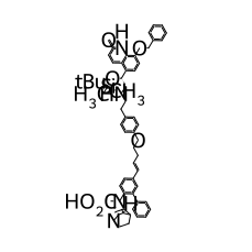 CC(C)(C)[Si](C)(C)O[C@@H](CNCCc1ccc(OCC/C=C/c2ccc(N(C(=O)O)[C@H]3CN4CCC3CC4)c(-c3ccccc3)c2)cc1)c1ccc(OCc2ccccc2)c2[nH]c(=O)ccc12